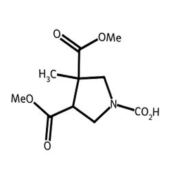 COC(=O)C1CN(C(=O)O)CC1(C)C(=O)OC